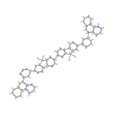 CC1(C)c2cc(-c3cccc(-c4cc5ccccc5c5ncccc45)c3)ccc2-c2ccc(-c3ccc4c(c3)C(C)(C)c3cc(-c5cccc(-c6cc7ccccc7c7ncccc67)c5)ccc3-4)cc21